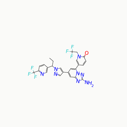 CCC(c1ccc(C(F)(F)F)nc1)n1cc(-c2cc(-c3ccc(=O)n(CC(F)(F)F)c3)n3nc(N)nc3c2)cn1